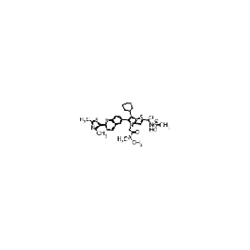 Cc1nc(C)c(-c2ccc3cc(-c4c(C5CCCCC5)c5sc(C(=O)NS(C)(=O)=O)cc5n4CC(=O)N(C)C)ccc3n2)s1